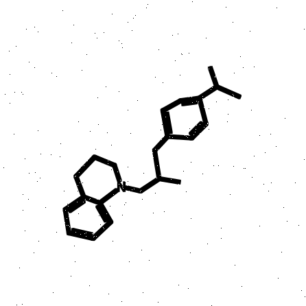 CC(Cc1ccc(C(C)C)cc1)CN1CCCc2ccccc21